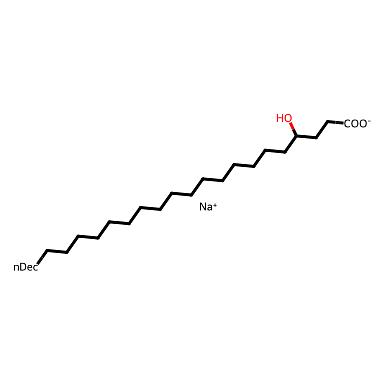 CCCCCCCCCCCCCCCCCCCCCCCCCCC(O)CCC(=O)[O-].[Na+]